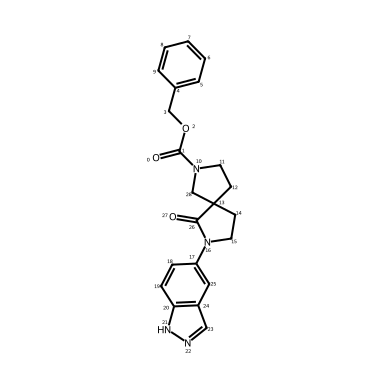 O=C(OCc1ccccc1)N1CCC2(CCN(c3ccc4[nH]ncc4c3)C2=O)C1